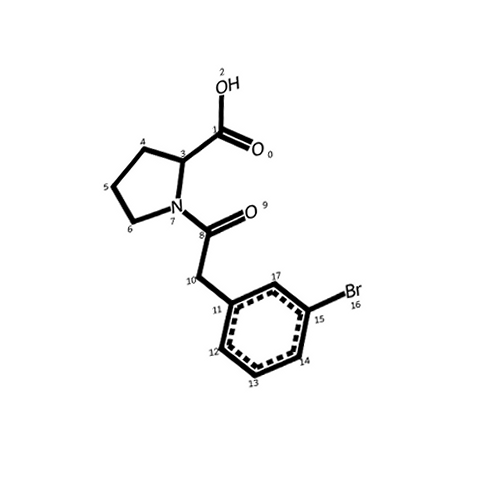 O=C(O)C1CCCN1C(=O)Cc1cccc(Br)c1